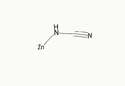 N#C[NH][Zn]